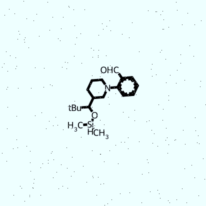 C[SiH](C)OC(C1CCCN(c2ccccc2C=O)C1)C(C)(C)C